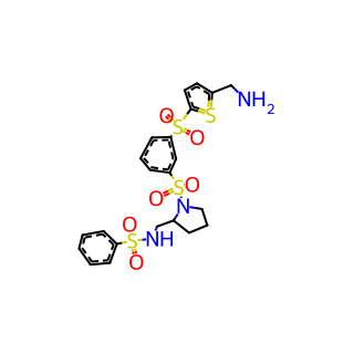 NCc1ccc(S(=O)(=O)c2cccc(S(=O)(=O)N3CCCC3CNS(=O)(=O)c3ccccc3)c2)s1